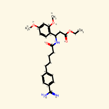 CCOC(=O)CC(NC(=O)CCCCc1ccc(C(=N)N)cc1)c1ccc(OC)cc1OC